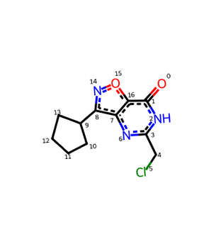 O=c1[nH]c(CCl)nc2c(C3CCCC3)noc12